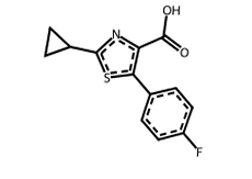 O=C(O)c1nc(C2CC2)sc1-c1ccc(F)cc1